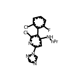 CCCNc1cc(-n2cncn2)nc(Cl)c1-c1c(F)cccc1Cl